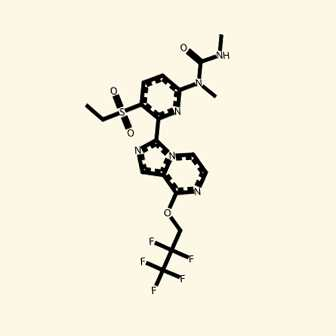 CCS(=O)(=O)c1ccc(N(C)C(=O)NC)nc1-c1ncc2c(OCC(F)(F)C(F)(F)F)nccn12